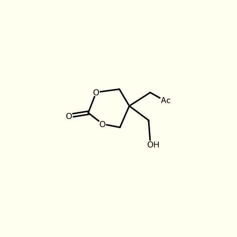 CC(=O)CC1(CO)COC(=O)OC1